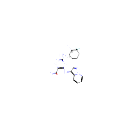 NC(=O)c1nnc(N[C@@H]2CCCC(F)(F)[C@@H]2N)nc1Nc1cnn2ccccc12